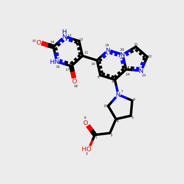 O=C(O)CC1CCN(c2cc(-c3c[nH]c(=O)[nH]c3=O)nn3ccnc23)C1